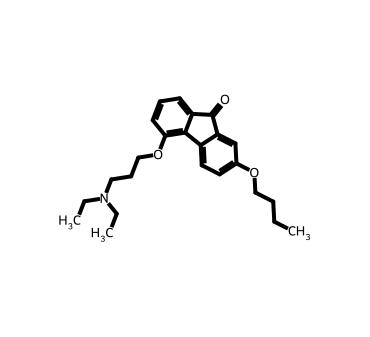 CCCCOc1ccc2c(c1)C(=O)c1cccc(OCCCN(CC)CC)c1-2